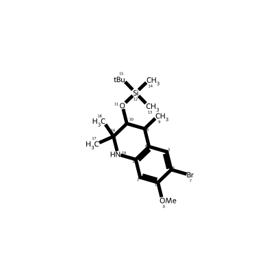 COc1cc2c(cc1Br)C(C)C(O[Si](C)(C)C(C)(C)C)C(C)(C)N2